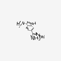 NC(=NO)c1ccc2c(N)n[nH]c2c1